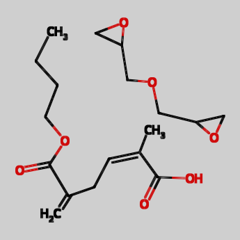 C(OCC1CO1)C1CO1.C=C(CC=C(C)C(=O)O)C(=O)OCCCC